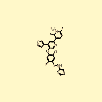 CN1C(F)=CC=C(c2cc(-c3ccoc3)c(Oc3cc(F)c(SNc4cscn4)cc3Cl)cn2)C1F